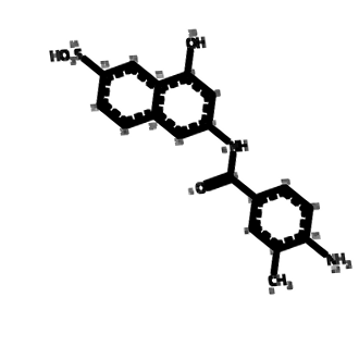 Cc1cc(C(=O)Nc2cc(O)c3cc(S(=O)(=O)O)ccc3c2)ccc1N